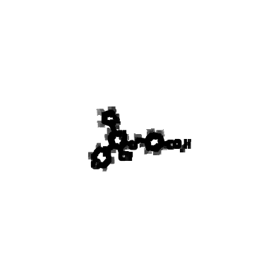 N#Cc1c(N2CCOCC2)cc(-c2cccs2)nc1OCc1ccc(C(=O)O)cc1